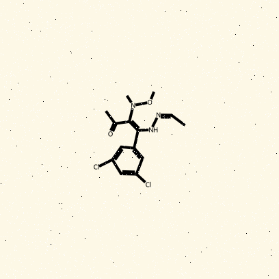 C/C=N\N/C(=C(/C(C)=O)N(C)OC)c1cc(Cl)cc(Cl)c1